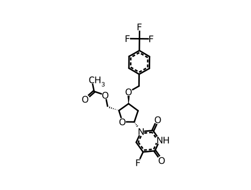 CC(=O)OC[C@H]1O[C@@H](n2cc(F)c(=O)[nH]c2=O)C[C@@H]1OCc1ccc(C(F)(F)F)cc1